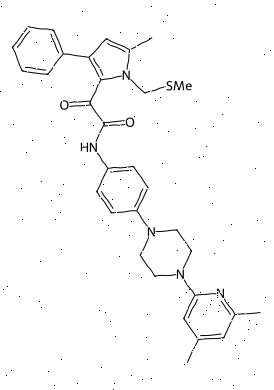 CSCn1c(C)cc(-c2ccccc2)c1C(=O)C(=O)Nc1ccc(N2CCN(c3cc(C)cc(C)n3)CC2)cc1